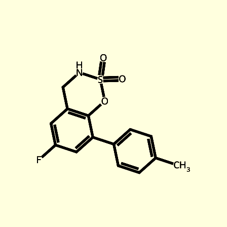 Cc1ccc(-c2cc(F)cc3c2OS(=O)(=O)NC3)cc1